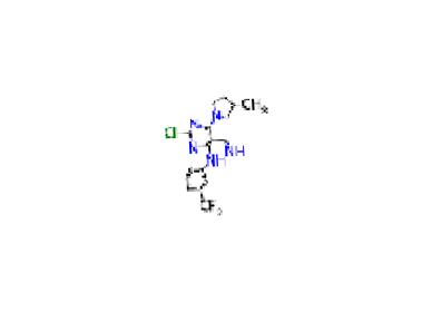 CC1CCN(c2nc(Cl)nc(Nc3cccc(C(F)(F)F)c3)c2C=N)C1